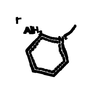 C[n+]1ccccc1.[AlH3].[I-]